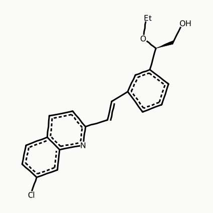 CCO[C@@H](CO)c1cccc(/C=C/c2ccc3ccc(Cl)cc3n2)c1